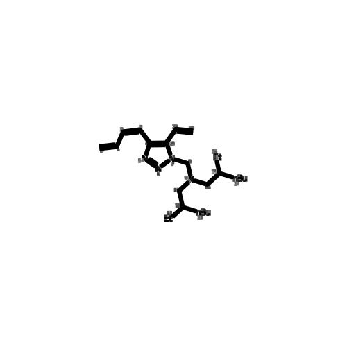 C=C/C=C\c1nnn(CN(CC(CC)CCCC)CC(CC)CCCC)c1C=C